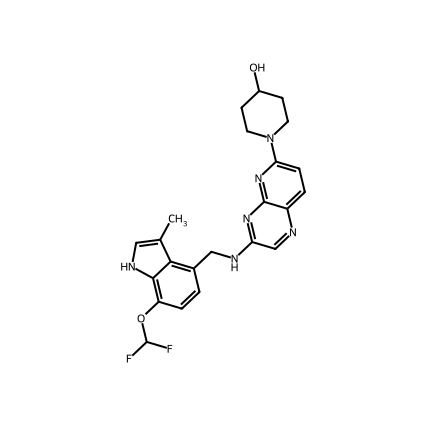 Cc1c[nH]c2c(OC(F)F)ccc(CNc3cnc4ccc(N5CCC(O)CC5)nc4n3)c12